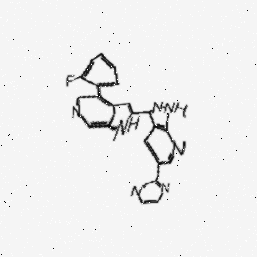 Fc1ccccc1-c1cncc2[nH]c(-c3n[nH]c4ncc(-c5cnccn5)cc34)cc12